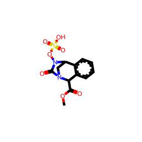 COC(=O)C1c2ccccc2C2CN1C(=O)N2OS(=O)(=O)O